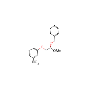 COC(COc1cccc([N+](=O)[O-])c1)OCc1ccccc1